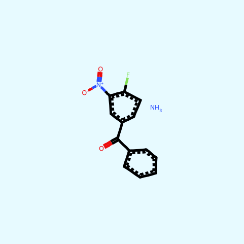 N.O=C(c1ccccc1)c1ccc(F)c([N+](=O)[O-])c1